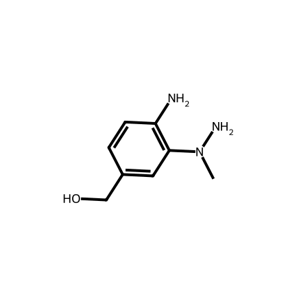 CN(N)c1cc(CO)ccc1N